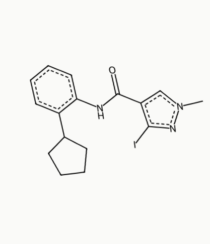 Cn1cc(C(=O)Nc2ccccc2C2CCCC2)c(I)n1